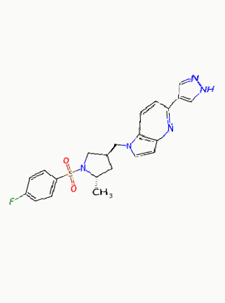 C[C@H]1C[C@H](Cn2ccc3nc(-c4cn[nH]c4)ccc32)CN1S(=O)(=O)c1ccc(F)cc1